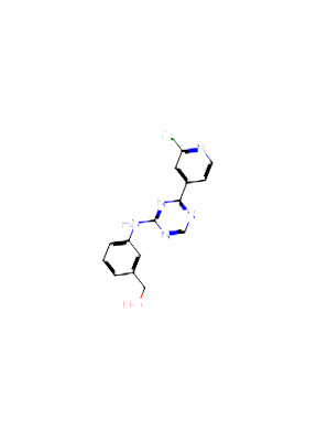 OCc1cccc(Nc2ncnc(-c3ccnc(Cl)c3)n2)c1